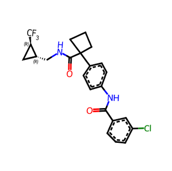 O=C(Nc1ccc(C2(C(=O)NC[C@@H]3C[C@H]3C(F)(F)F)CCC2)cc1)c1cccc(Cl)c1